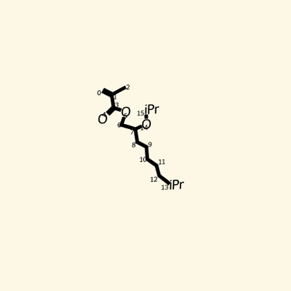 C=C(C)C(=O)OCC(CCCCCC(C)C)OC(C)C